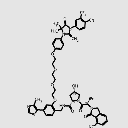 C=C1N(c2ccc(C#N)c(C(F)(F)F)c2)C(=O)C(C)(C)N1c1ccc(OCCOCCOCCOc2cc(-c3scnc3C)ccc2CNC(=O)[C@@H]2C[C@@H](O)CN2C(=O)[C@H](C(C)C)N2Cc3cccc(C#N)c3C2=O)cc1